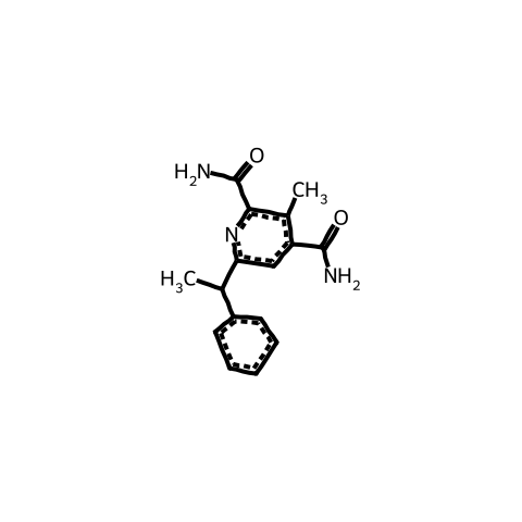 Cc1c(C(N)=O)cc(C(C)c2ccccc2)nc1C(N)=O